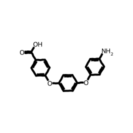 Nc1ccc(Oc2ccc(Oc3ccc(C(=O)O)cc3)cc2)cc1